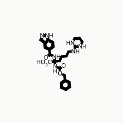 O=C(NC(CCCCNC1NC=CCN1)(NC(=O)c1ccc2[nH]ncc2c1)C(=O)O)OCc1ccccc1